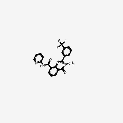 Cn1c(-c2cccc(C(F)(F)F)c2)nc2c(C(=O)Nc3ccccn3)cccc2c1=O